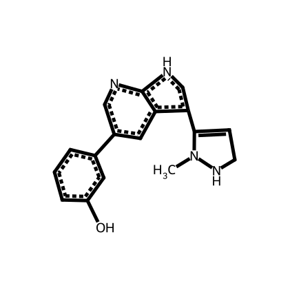 CN1NCC=C1c1c[nH]c2ncc(-c3cccc(O)c3)cc12